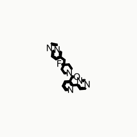 O=C(c1cccnc1-c1ccncn1)N1CCC(F)(Cc2ccc3nccn3c2)CC1